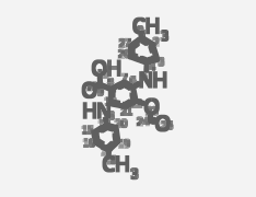 Cc1ccc(Nc2cc(C(=O)O)c(Nc3ccc(C)cc3)cc2OC=O)cc1